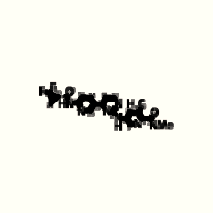 CNC(=O)c1ncc(Nc2nccc(-c3ccc(NC(=O)[C@@H]4CC4(F)F)nc3)n2)cc1C